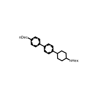 CCCCCCCCCCc1ccc(-c2ccc(C3CCC(CCCCCC)CC3)cc2)cc1